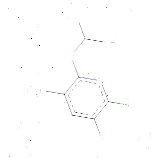 CC(Oc1nc(Cl)c(F)cc1C(=O)O)C(F)(F)F